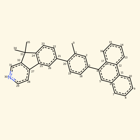 Cc1cc(-c2cc3ccccc3c3ccccc23)ccc1-c1ccc2c(c1)-c1ccncc1C2(C)C